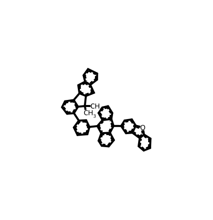 CC1(C)c2cc3ccccc3cc2-c2cccc(-c3cccc(-c4c5ccccc5c(-c5ccc6oc7ccccc7c6c5)c5ccccc45)c3)c21